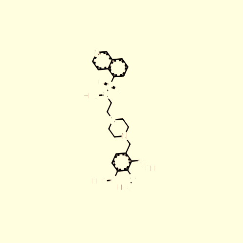 COc1ccc(CN2CCN(CCN(C)S(=O)(=O)c3cccc4cnccc34)CC2)c(OC)c1OC